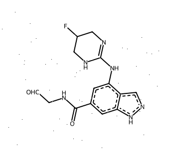 O=CCNC(=O)c1cc(NC2=NCC(F)CN2)c2cn[nH]c2c1